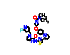 CN(C)C(=O)N1CC(Oc2ccc(N3CCC[C@@H]3c3csc(NC(=O)c4cccn4Cc4ccnc(F)c4)n3)cc2)C1